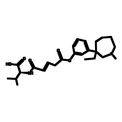 CCC1(c2cccc(OC(=O)C/C=C/C(=O)N[C@H](C(=O)O)C(C)C)c2)CCCCN(C)C1